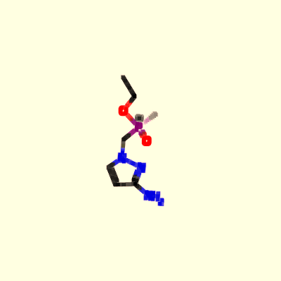 CCO[P@@](C)(=O)Cn1ccc(N)n1